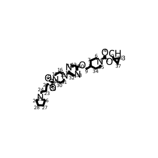 CC1(OC(=O)N2CCC(COc3cnc(N4CCN(S(=O)(=O)CCCN5CCCC5)CC4)cn3)CC2)CC1